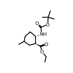 CCOC(=O)[C@H]1CC(C)CC[C@@H]1NC(=O)OC(C)(C)C